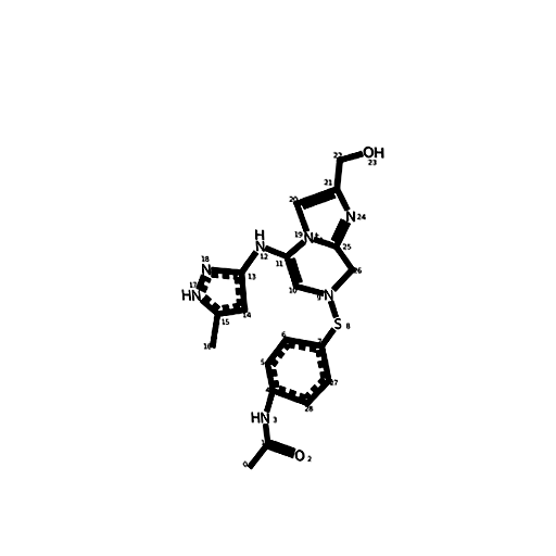 CC(=O)Nc1ccc(SN2C=C(Nc3cc(C)[nH]n3)[N+]3C=C(CO)N=C3C2)cc1